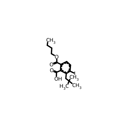 CCCCOC(=O)c1ccc(I)c(CC(C)(C)C)c1C(=O)O